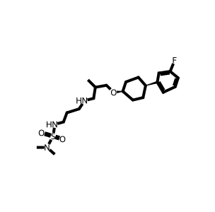 CC(CNCCCNS(=O)(=O)N(C)C)CO[C@H]1CC[C@@H](c2cccc(F)c2)CC1